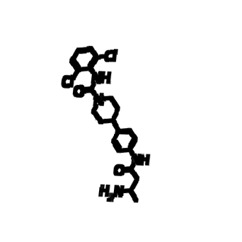 CC(N)CC(=O)Nc1ccc(C2CCN(C(=O)Nc3c(Cl)cccc3Cl)CC2)cc1